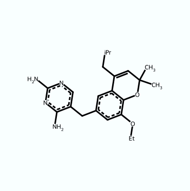 CCOc1cc(Cc2cnc(N)nc2N)cc2c1OC(C)(C)C=C2CC(C)C